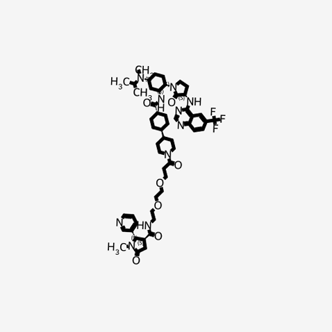 CC(C)N(C)[C@@H]1CC[C@H](N2CC[C@H](Nc3ncnc4ccc(C(F)(F)F)cc34)C2=O)[C@H](NC(=O)[C@H]2CC[C@H](C3CCN(C(=O)CCOCCOCCNC(=O)[C@H]4CC(=O)N(C)[C@@H]4c4cccnc4)CC3)CC2)C1